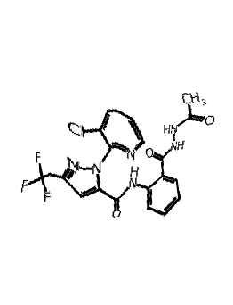 CC(=O)NNC(=O)c1ccccc1NC(=O)c1cc(C(F)(F)F)nn1-c1ncccc1Cl